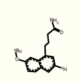 [2H]c1cc(CCCC(N)=O)c2cc(OC(C)(C)C)ccc2c1